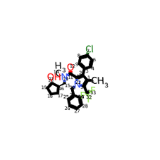 Cc1c(-c2ccc(Cl)cc2)c(C(=O)N(C)C[C@H]2CCC[C@@H]2O)n(Cc2ccccc2)c1C(F)(F)F